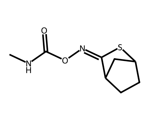 CNC(=O)O/N=C1/SC2CCC1C2